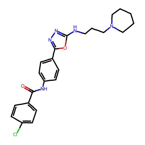 O=C(Nc1ccc(-c2nnc(NCCCN3CCCCC3)o2)cc1)c1ccc(Cl)cc1